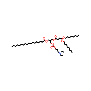 CCCCCCCCCCCCCC=CC=CC(=O)OCC(COC(=O)CCC(OCCCCCCCC)OCCCCCCCC)COC(=O)OCCCN(CC)CC